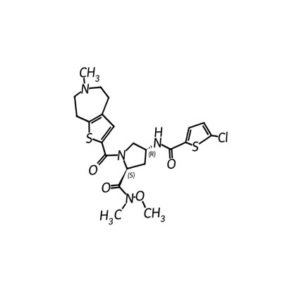 CON(C)C(=O)[C@@H]1C[C@@H](NC(=O)c2ccc(Cl)s2)CN1C(=O)c1cc2c(s1)CCN(C)CC2